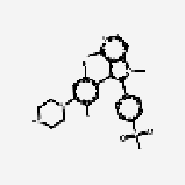 Cc1nccc2c1c(-c1cc(F)c(N3CCNCC3)cc1F)c(-c1ccc(S(C)(=O)=O)cc1)n2C